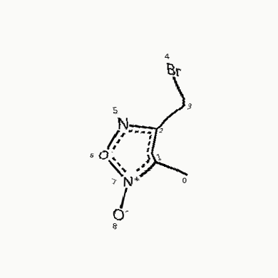 Cc1c(CBr)no[n+]1[O-]